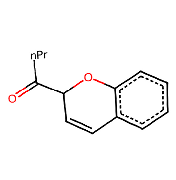 CCCC(=O)C1C=Cc2ccccc2O1